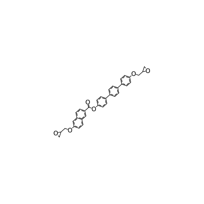 O=C(Oc1ccc(-c2ccc(-c3ccc(OCC4CO4)cc3)cc2)cc1)c1ccc2cc(OCC3CO3)ccc2c1